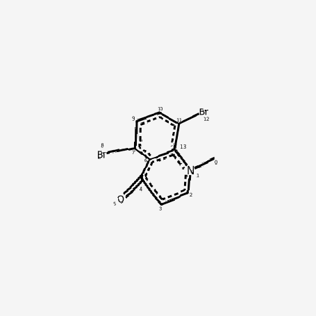 Cn1ccc(=O)c2c(Br)ccc(Br)c21